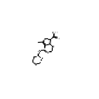 CC1=C2C(OC3CCCCO3)OCCC2C(C(=O)O)C1